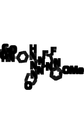 COc1cccc2c1nc(C(F)F)n2-c1nc(N[C@H]2CC[C@@H](NS(C)(=O)=O)CC2)nc(N2CCOCC2)n1